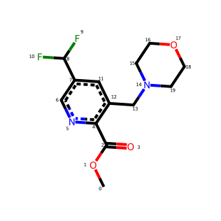 COC(=O)c1ncc(C(F)F)cc1CN1CCOCC1